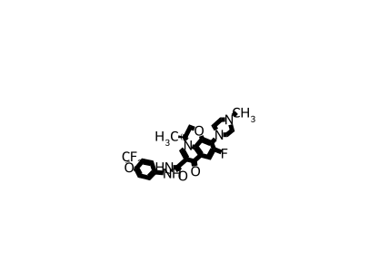 C[C@H]1COc2c(N3CCN(C)CC3)c(F)cc3c(=O)c(C(=O)NNc4ccc(OC(F)(F)F)cc4)cn1c23